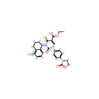 CCOC(=O)c1cn(-c2ccc(N3CCOC3=O)cc2)c(=O)n(C2CCCc3c(Cl)cccc32)c1=O